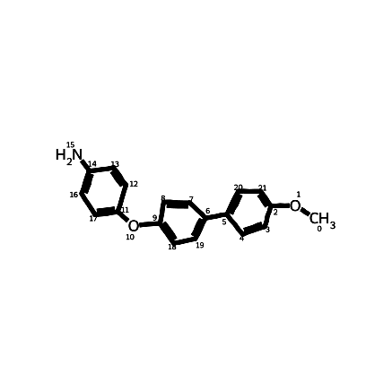 COc1ccc(-c2ccc(Oc3ccc(N)cc3)cc2)cc1